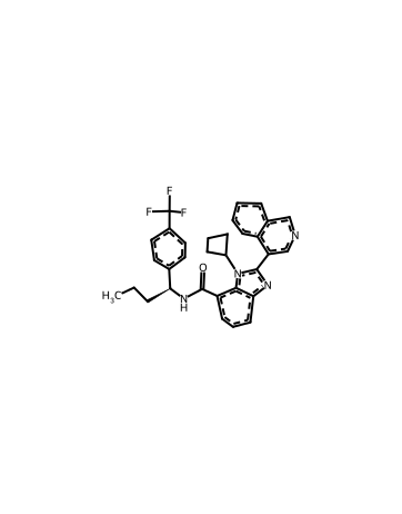 CCC[C@H](NC(=O)c1cccc2nc(-c3cncc4ccccc34)n(C3CCC3)c12)c1ccc(C(F)(F)F)cc1